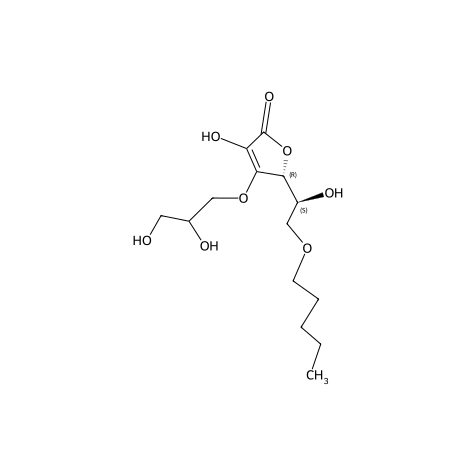 CCCCCOC[C@H](O)[C@H]1OC(=O)C(O)=C1OCC(O)CO